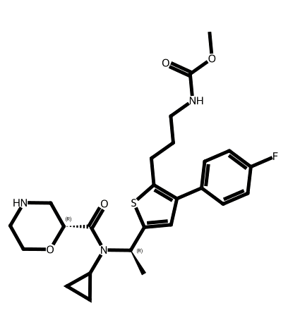 COC(=O)NCCCc1sc([C@@H](C)N(C(=O)[C@H]2CNCCO2)C2CC2)cc1-c1ccc(F)cc1